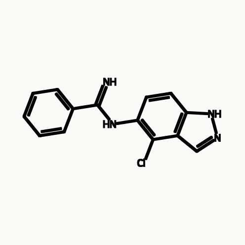 N=C(Nc1ccc2[nH]ncc2c1Cl)c1ccccc1